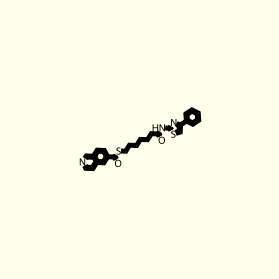 O=C(CCCCCCSC(=O)c1ccc2cnccc2c1)Nc1nc(-c2ccccc2)cs1